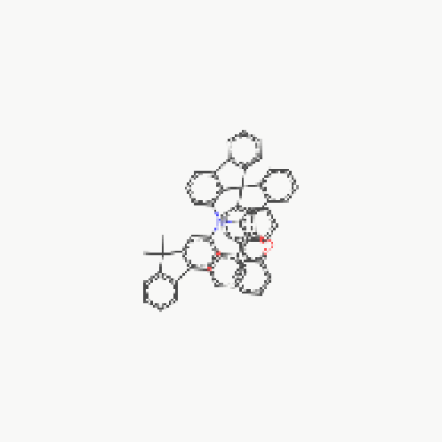 CC1(C)c2ccccc2-c2ccc(N(c3ccccc3-c3ccccc3)c3cccc4c3C3(c5ccccc5-4)c4ccccc4-c4c3ccc3c4oc4ccccc43)cc21